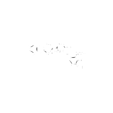 CCC(=O)C(CCc1ccc(C)c(F)c1NC)NC(=O)C1=NN=C(Cc2ccccc2)CCC1